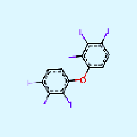 Ic1ccc(Oc2ccc(I)c(I)c2I)c(I)c1I